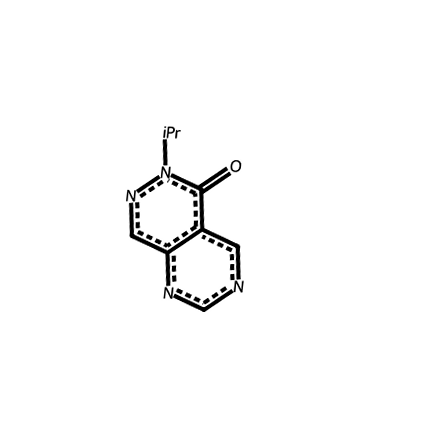 CC(C)n1ncc2ncncc2c1=O